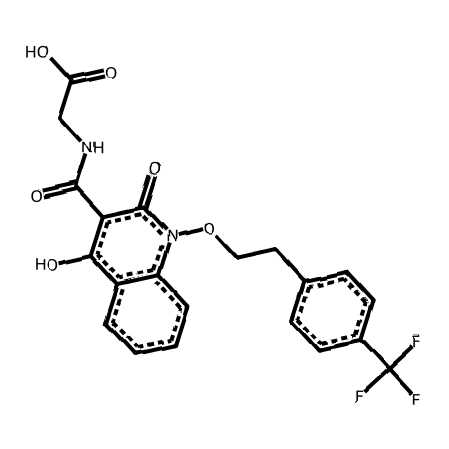 O=C(O)CNC(=O)c1c(O)c2ccccc2n(OCCc2ccc(C(F)(F)F)cc2)c1=O